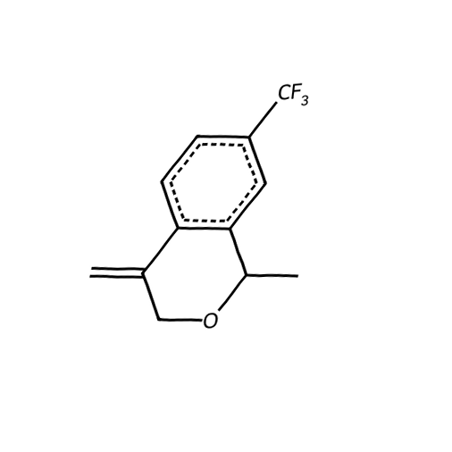 C=C1COC(C)c2cc(C(F)(F)F)ccc21